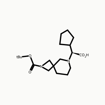 CC(C)(C)OC(=O)N1CC2(CCCN([C@H](C(=O)O)C3CCCC3)C2)C1